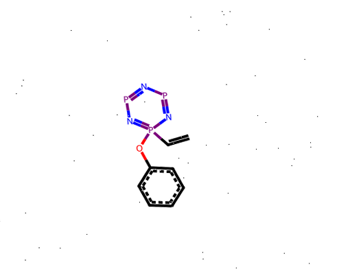 C=CP1(Oc2ccccc2)=NP=NP=N1